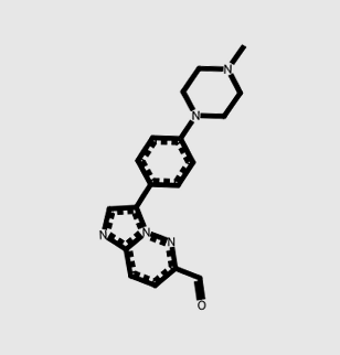 CN1CCN(c2ccc(-c3cnc4ccc(C=O)nn34)cc2)CC1